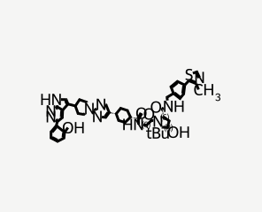 Cc1ncsc1-c1ccc(CNC(=O)[C@@H]2C[C@@H](O)CN2C(=O)[C@@H](NC(=O)[C@H]2CC[C@@H](c3cnc(N4CCC(c5c[nH]c6nnc(-c7ccccc7O)cc56)CC4)nc3)CC2)C(C)(C)C)cc1